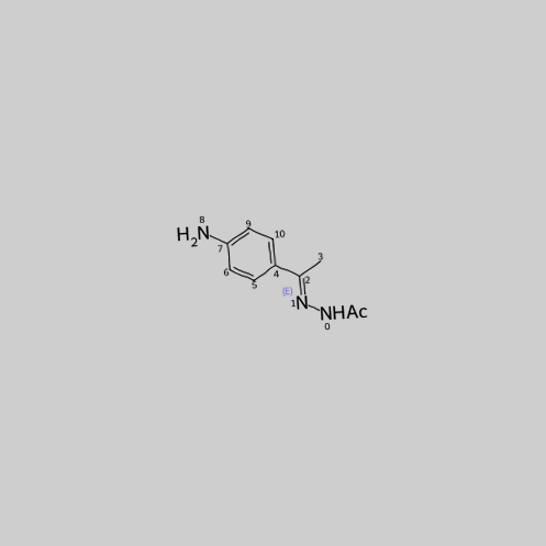 CC(=O)N/N=C(\C)c1ccc(N)cc1